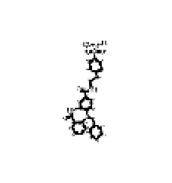 CN(C)S(=O)(=O)c1ccc(CCNC(=O)c2ccc3c(c2)NC(=O)c2ccccc2N3Cc2ccccc2)cc1